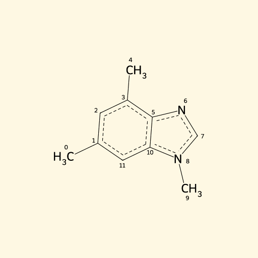 Cc1cc(C)c2ncn(C)c2c1